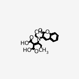 CCC(=C(C(=O)O)C(=O)O)N(CC)c1cc2ccccc2oc1=O